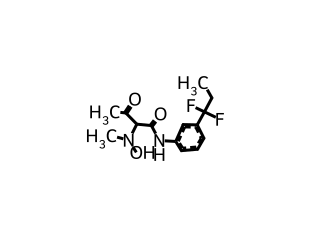 CCC(F)(F)c1cccc(NC(=O)C(C(C)=O)N(C)O)c1